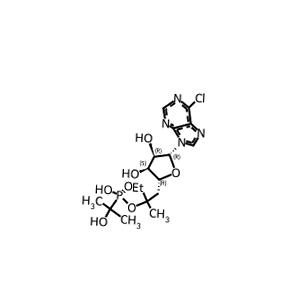 CCC(C)(C[C@H]1O[C@@H](n2cnc3c(Cl)ncnc32)[C@H](O)[C@@H]1O)OP(=O)(O)C(C)(C)O